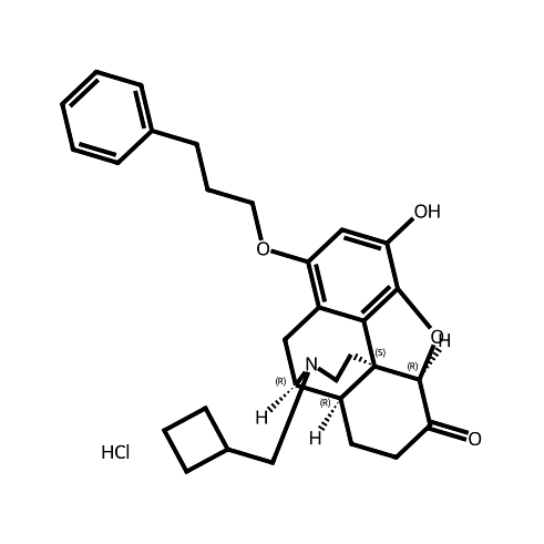 Cl.O=C1CC[C@H]2[C@H]3Cc4c(OCCCc5ccccc5)cc(O)c5c4[C@@]2(CCN3CC2CCC2)[C@H]1O5